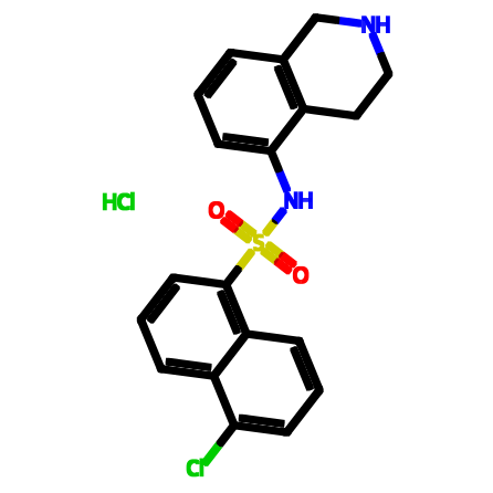 Cl.O=S(=O)(Nc1cccc2c1CCNC2)c1cccc2c(Cl)cccc12